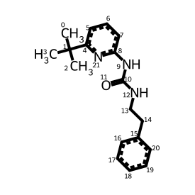 CC(C)(C)c1cccc(NC(=O)NCCc2ccccc2)n1